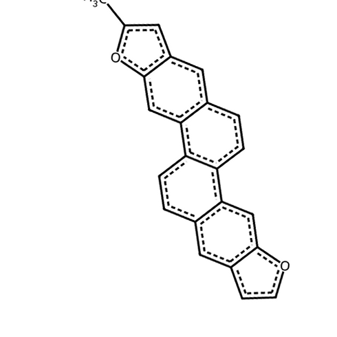 Cc1cc2cc3ccc4c5cc6occc6cc5ccc4c3cc2o1